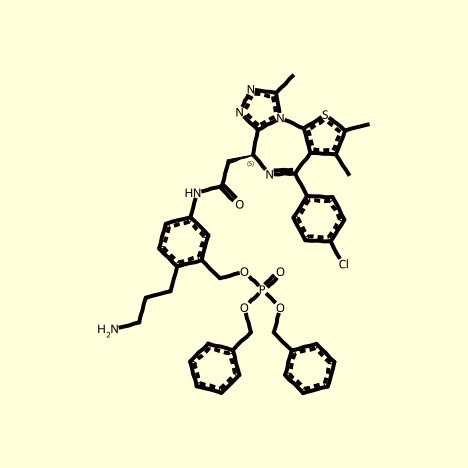 Cc1sc2c(c1C)C(c1ccc(Cl)cc1)=N[C@@H](CC(=O)Nc1ccc(CCCN)c(COP(=O)(OCc3ccccc3)OCc3ccccc3)c1)c1nnc(C)n1-2